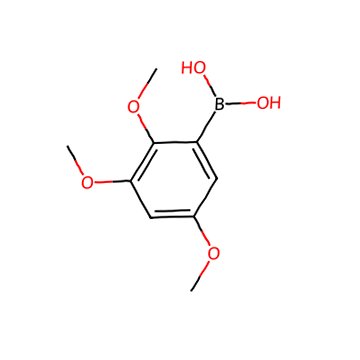 COc1cc(OC)c(OC)c(B(O)O)c1